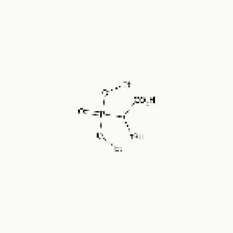 CCOP(=O)(OCC)C(C(=O)O)C(C)(C)C